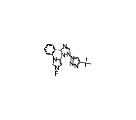 CC(C)(C)c1cn(N2C=NC3c4ccccc4N4CN(F)C=C4N32)nn1